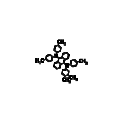 CC1=CCC(N(c2ccc(C)cc2)c2c3ccccc3c(N(C3=CC=C(C)C(C)C3)c3ccc(C)cc3)c3ccccc23)C=C1